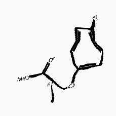 COC(=O)[C@H](C)Oc1ccc(Cl)cc1